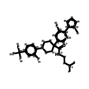 CN(C)CCNC(=O)C1(c2cnc(-c3cccn3C)c(F)c2)CCN(c2ccc(C(F)(F)F)cc2F)CC1